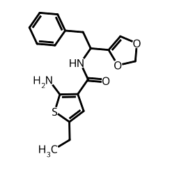 CCc1cc(C(=O)NC(Cc2ccccc2)C2=COCO2)c(N)s1